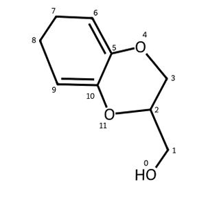 OCC1COC2=CCCC=C2O1